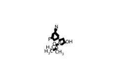 CC(C)(C)OC(=O)N1C[C@H](O)CC1[C@H]1C=C(C#N)C=C(F)C1